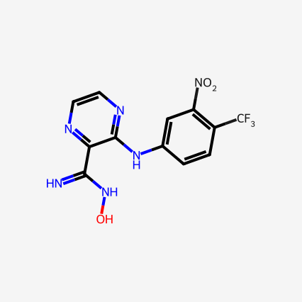 N=C(NO)c1nccnc1Nc1ccc(C(F)(F)F)c([N+](=O)[O-])c1